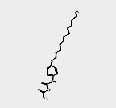 CCCCCCCCCCCCOc1ccc(NC(=O)NC(N)=O)cc1